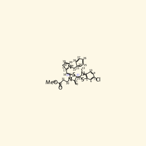 C=C1/C(=C2\Sc3cc(Cl)ccc3N2C)S/C(=C\c2scc[n+]2Cc2ccccc2)N1CCC(=O)OC